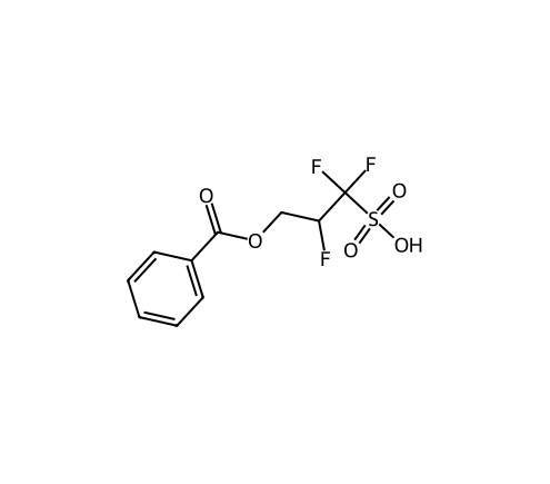 O=C(OCC(F)C(F)(F)S(=O)(=O)O)c1ccccc1